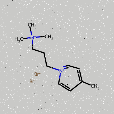 Cc1cc[n+](CCC[N+](C)(C)C)cc1.[Br-].[Br-]